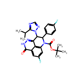 CC(C)c1ncnn1C1c2n[nH]c(=O)c3cc(F)cc(c23)N(C(=O)OC(C)(C)C)C1c1ccc(F)cc1